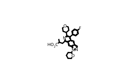 CC(Cc1nc(C2CCOCC2)c(-c2ccc(F)cc2)c2cc3cnn(C4CCCCO4)c3cc12)C(=O)O